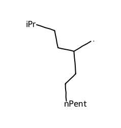 [CH2]C(CCCCCCC)CCC(C)C